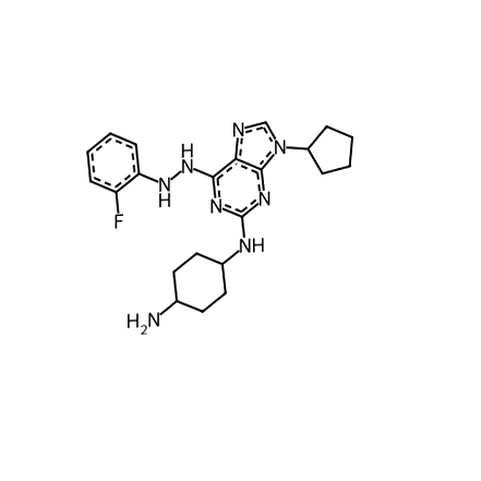 NC1CCC(Nc2nc(NNc3ccccc3F)c3ncn(C4CCCC4)c3n2)CC1